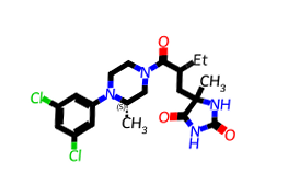 CCC(CC1(C)NC(=O)NC1=O)C(=O)N1CCN(c2cc(Cl)cc(Cl)c2)[C@@H](C)C1